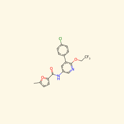 Cc1ccc(C(=O)Nc2cnc(OCC(F)(F)F)c(-c3ccc(Cl)cc3)c2)o1